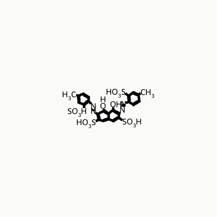 Cc1ccc(N=Nc2c(S(=O)(=O)O)cc3cc(S(=O)(=O)O)c(N=Nc4ccc(C)cc4S(=O)(=O)O)c(O)c3c2O)c(S(=O)(=O)O)c1